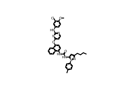 CCCCc1cc(NC(=O)Nc2ccc(Oc3ccnc(Nc4ccc(OC)c(Cl)c4)n3)c3ccccc23)n(-c2ccc(C)cc2)n1